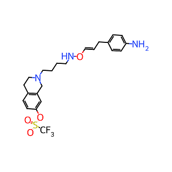 Nc1ccc(CC=CONCCCCN2CCc3ccc(OS(=O)(=O)C(F)(F)F)cc3C2)cc1